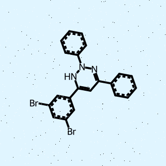 Brc1cc(Br)cc(C2=CC(c3ccccc3)=NN(c3ccccc3)N2)c1